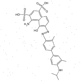 Cc1cc(-c2ccc(NC(C)C)c(C)c2)ccc1N=Nc1ccc2c(S(=O)(=O)O)cc(S(=O)(=O)O)c(N)c2c1O